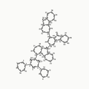 c1ccc(-c2nc(-c3ccccc3)nc(-c3cccc4c3c3ccccc3n4-c3cc(-c4ccc5sc6ccccc6c5c4)c4sc5ccccc5c4c3)n2)cc1